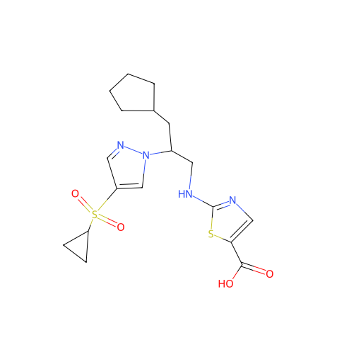 O=C(O)c1cnc(NCC(CC2CCCC2)n2cc(S(=O)(=O)C3CC3)cn2)s1